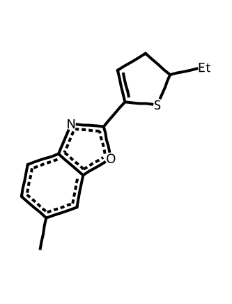 CCC1CC=C(c2nc3ccc(C)cc3o2)S1